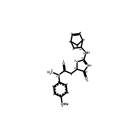 COc1ccc(N(C)C(=O)CC2SC(NC3CC4C=CC3C4)=NC2=O)cc1